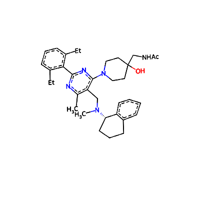 CCc1cccc(CC)c1-c1nc(C)c(CN(C)[C@H]2CCCc3ccccc32)c(N2CCC(O)(CNC(C)=O)CC2)n1